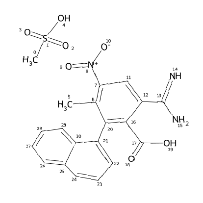 CS(=O)(=O)O.Cc1c([N+](=O)[O-])cc(C(=N)N)c(C(=O)O)c1-c1cccc2ccccc12